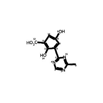 Cc1ncnc(-c2cc(O)cc(C(=O)O)c2O)n1